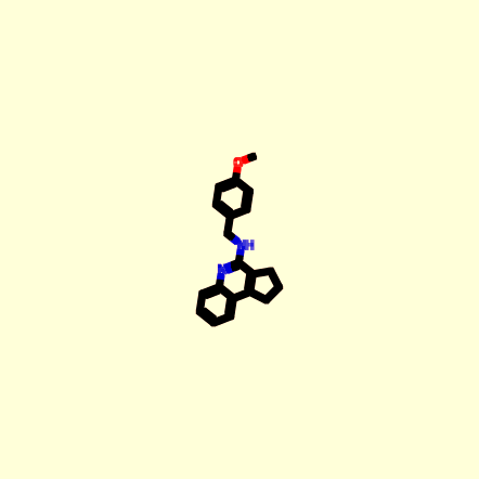 COc1ccc(CNc2nc3ccccc3c3c2CCC3)cc1